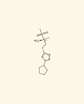 C[C@@](CCn1cc(C2CCCC2)cn1)(C(=O)O)S(C)(=O)=O